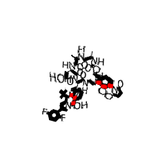 C[C@H](NC(=O)OCc1ccccc1)C(=O)N[C@H](C)C(=O)N[C@@H](CC(=O)O)C(=O)N[C@@H](CCN(C(=O)CO)[C@@H](c1cc(-c2cc(F)ccc2F)cn1Cc1ccccc1)C(C)(C)C)C(=O)NCCNC(=O)CN1C(=O)C=CC1=O